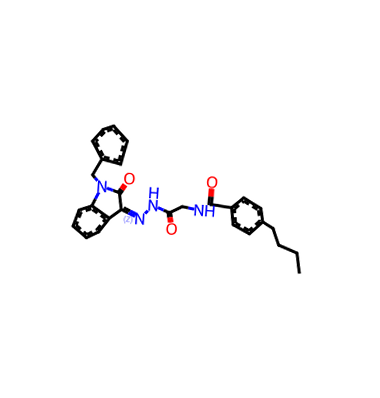 CCCCc1ccc(C(=O)NCC(=O)N/N=C2\C(=O)N(Cc3ccccc3)c3ccccc32)cc1